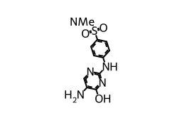 CNS(=O)(=O)c1ccc(Nc2ncc(N)c(O)n2)cc1